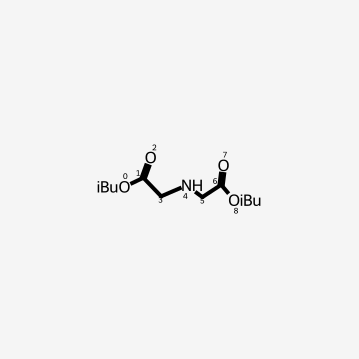 CC(C)COC(=O)CNCC(=O)OCC(C)C